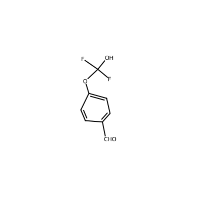 O=Cc1ccc(OC(O)(F)F)cc1